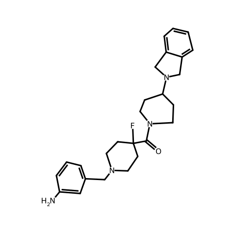 Nc1cccc(CN2CCC(F)(C(=O)N3CCC(N4Cc5ccccc5C4)CC3)CC2)c1